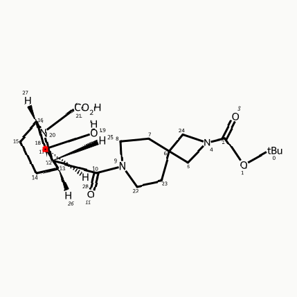 CC(C)(C)OC(=O)N1CC2(CCN(C(=O)[C@@H]3[C@@H]4CC[C@@H](C[C@H]4O)N3C(=O)O)CC2)C1